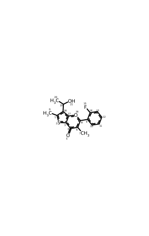 Cc1sc2c(=O)c(C)c(-c3ccccc3F)oc2c1C(C)O